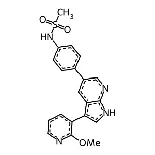 COc1ncccc1-c1c[nH]c2ncc(-c3ccc(NS(C)(=O)=O)cc3)cc12